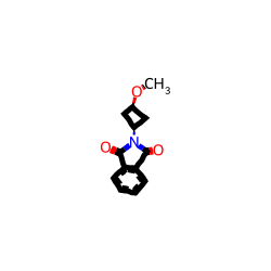 CO[C@H]1C[C@H](N2C(=O)c3ccccc3C2=O)C1